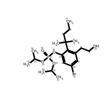 CCCC(C)(C)c1c(CCO)cc(Br)cc1OP(=O)(OC(C)C)OC(C)C